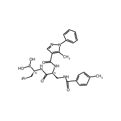 Cc1ccc(C(=O)NC[C@H](NC(=O)c2cnn(-c3ccccc3)c2C)C(=O)N[C@@H](CC(C)C)B(O)O)cc1